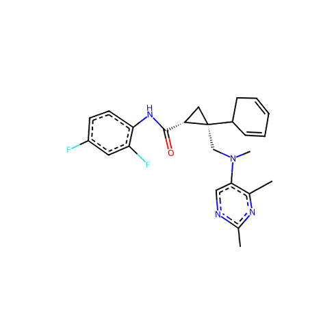 Cc1ncc(N(C)C[C@@]2(C3C=CC=CC3)C[C@H]2C(=O)Nc2ccc(F)cc2F)c(C)n1